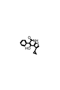 O=c1[nH]c2scc(C3CC3)c2c(O)c1-c1ccccc1